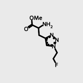 COC(=O)C(N)Cc1cn(CCF)nn1